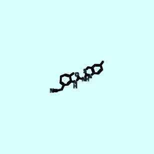 CC1=CCC=C(CC#N)C=C1NC(=O)NC1=Nc2ccc(C)cc2CS1